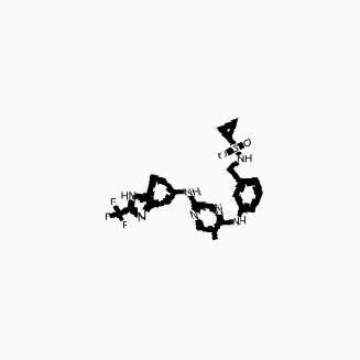 Cc1cnc(Nc2ccc3[nH]c(C(F)(F)F)nc3c2)nc1Nc1cccc(CNS(=O)(=O)C2CC2)c1